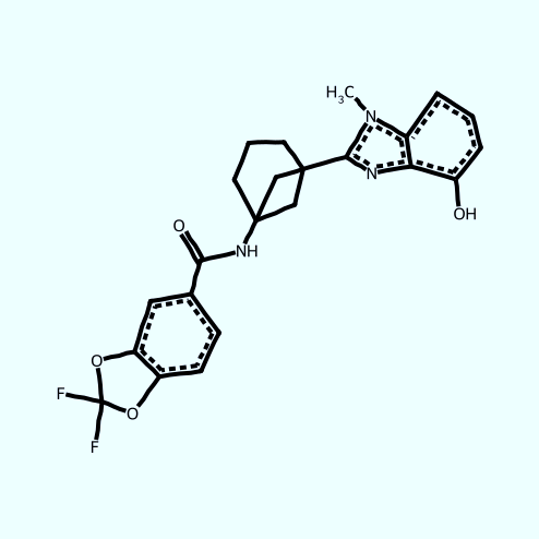 Cn1c(C23CCCC(NC(=O)c4ccc5c(c4)OC(F)(F)O5)(C2)C3)nc2c(O)cccc21